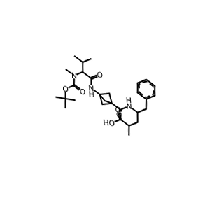 CC(CC(Cc1ccccc1)NC(=O)C12CC(NC(=O)C(C(C)C)N(C)C(=O)OC(C)(C)C)(C1)C2)C(=O)O